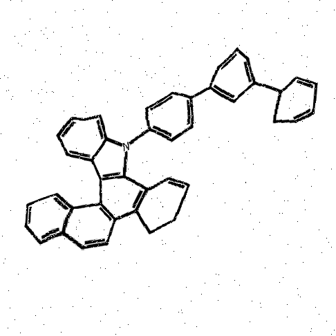 C1=CCC(c2cccc(-c3ccc(-n4c5ccccc5c5c6c(ccc7ccccc76)c6c(c54)C=CCC6)cc3)c2)C=C1